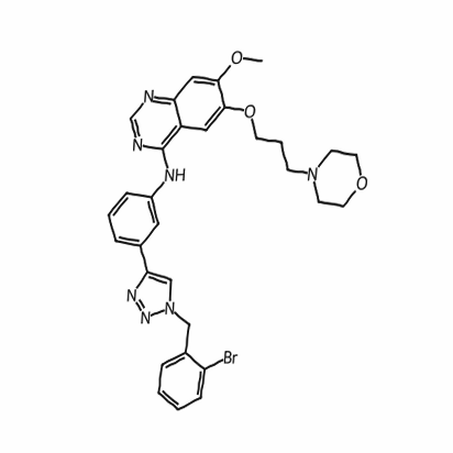 COc1cc2ncnc(Nc3cccc(-c4cn(Cc5ccccc5Br)nn4)c3)c2cc1OCCCN1CCOCC1